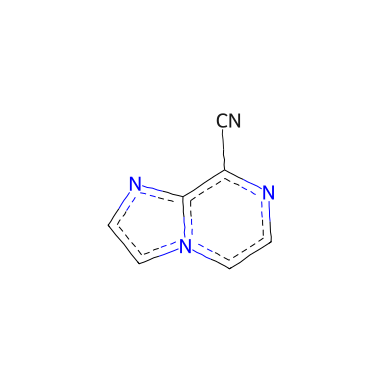 N#Cc1nccn2ccnc12